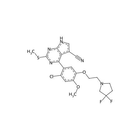 COc1cc(Cl)c(-c2nc(SC)nc3[nH]cc(C#N)c23)cc1OCCN1CCC(F)(F)C1